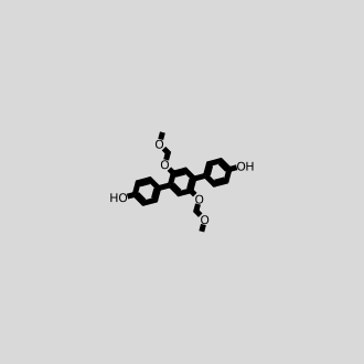 COCOc1cc(-c2ccc(O)cc2)c(OCOC)cc1-c1ccc(O)cc1